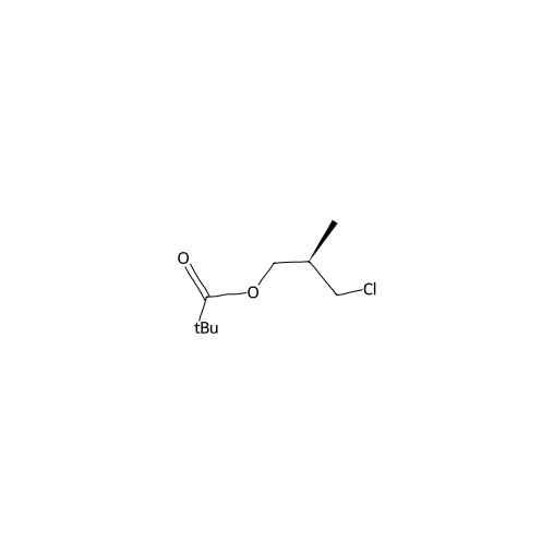 C[C@@H](CCl)COC(=O)C(C)(C)C